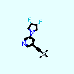 C[Si](C)(C)C#Cc1cncc(N2C[C@@H](F)[C@H](F)C2)c1